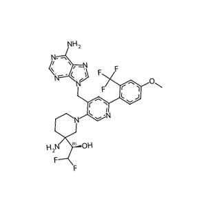 COc1ccc(-c2cc(Cn3cnc4c(N)ncnc43)c(N3CCCC(N)([C@@H](O)C(F)F)C3)cn2)c(C(F)(F)F)c1